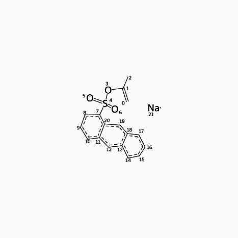 C=C(C)OS(=O)(=O)c1cccc2cc3ccccc3cc12.[Na]